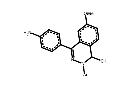 COc1ccc2c(c1)C(c1ccc(N)cc1)=NN(C(C)=O)C2C